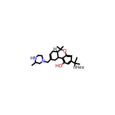 CCCCCCC(C)(C)c1cc(O)c2c(c1)OC(C)(C)[C@H]1CC=C(CN3CCNC(C)C3)CC21